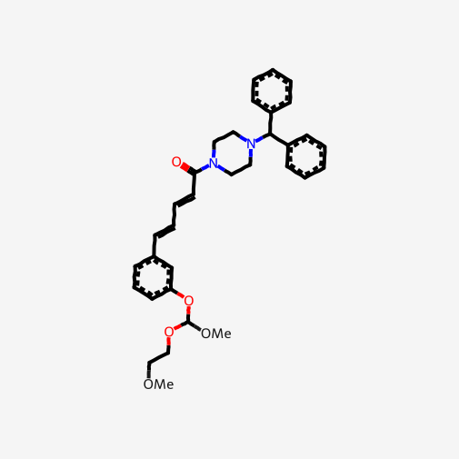 COCCOC(OC)Oc1cccc(C=CC=CC(=O)N2CCN(C(c3ccccc3)c3ccccc3)CC2)c1